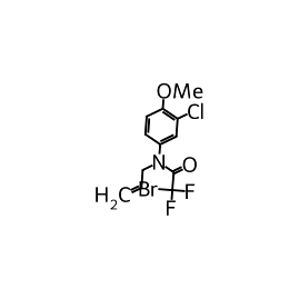 C=CCN(C(=O)C(F)(F)Br)c1ccc(OC)c(Cl)c1